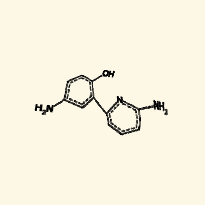 Nc1ccc(O)c(-c2cccc(N)n2)c1